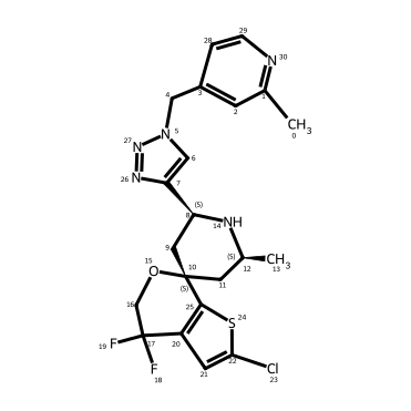 Cc1cc(Cn2cc([C@@H]3C[C@]4(C[C@H](C)N3)OCC(F)(F)c3cc(Cl)sc34)nn2)ccn1